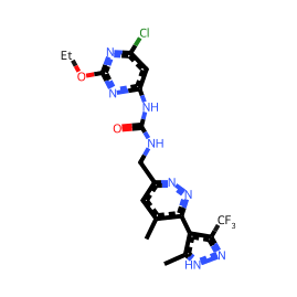 CCOc1nc(Cl)cc(NC(=O)NCc2cc(C)c(-c3c(C(F)(F)F)n[nH]c3C)nn2)n1